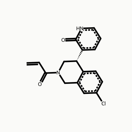 C=CC(=O)N1Cc2cc(Cl)ccc2[C@@H](c2ccc[nH]c2=O)C1